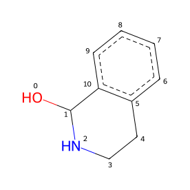 OC1NCCc2ccccc21